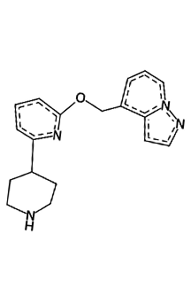 c1cc(OCc2cccn3nccc23)nc(C2CCNCC2)c1